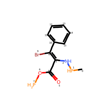 CPN/C(C(=O)OP)=C(/Br)c1ccccc1